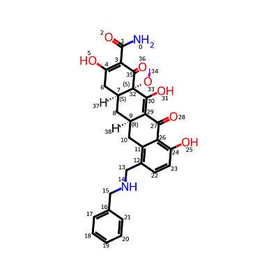 NC(=O)C1=C(O)C[C@@H]2C[C@@H]3Cc4c(CNCc5ccccc5)ccc(O)c4C(=O)C3=C(O)[C@]2(OI)C1=O